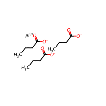 CCCC(=O)[O-].CCCC(=O)[O-].CCCC(=O)[O-].[Al+3]